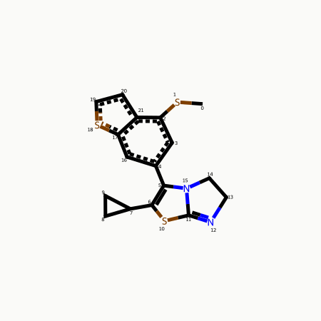 CSc1cc(C2=C(C3CC3)SC3=NCCN32)cc2sccc12